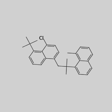 Cc1cccc2cccc(C(C)(C)Cc3ccc(Cl)c4c(C(C)(C)C)cccc34)c12